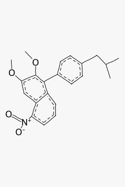 COc1cc2c([N+](=O)[O-])cccc2c(-c2ccc(CC(C)C)cc2)c1OC